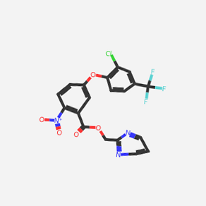 O=C(OCc1ncccn1)c1cc(Oc2ccc(C(F)(F)F)cc2Cl)ccc1[N+](=O)[O-]